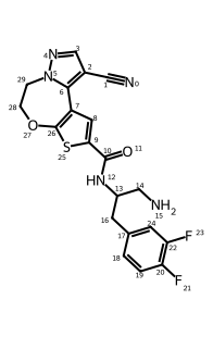 N#Cc1cnn2c1-c1cc(C(=O)NC(CN)Cc3ccc(F)c(F)c3)sc1OCC2